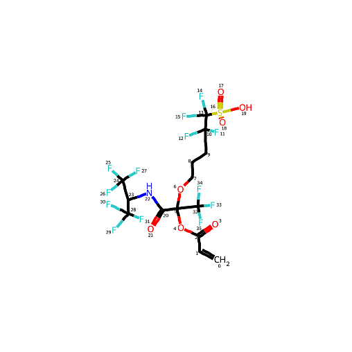 C=CC(=O)OC(OCCCC(F)(F)C(F)(F)S(=O)(=O)O)(C(=O)NC(C(F)(F)F)C(F)(F)F)C(F)(F)F